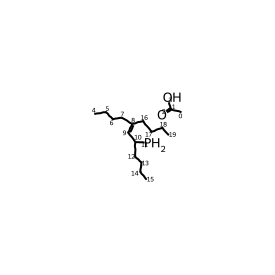 CC(=O)O.CCCCC(=CC(P)CCCC)CCCC